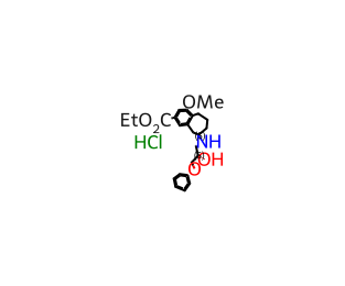 CCOC(=O)c1cc2c(c(OC)c1)CCC[C@H](NC[C@H](O)COc1ccccc1)C2.Cl